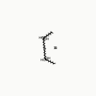 CCCCCCCCC(O)(O)CCCCCCCOCCCCCCCC(O)(O)CCCCCCCC.[Ti].[Ti]